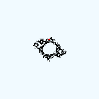 CC(C)C[C@H]1C(=O)O[C@H](C)C(=O)N(C)[C@@H](CC(C)C)C(=O)O[C@H](Cc2ccc(CN3CCOCC3)cc2)C(=O)N(C)[C@@H](CC(C)C)C(=O)O[C@H](C)C(=O)N(C)[C@@H](CC(C)C)C(=O)OC(Cc2ccc(CN3CCOCC3)cc2)C(=O)N1C